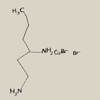 CCCC(N)CCN.[Br-].[Br-].[Cu+2]